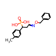 Cc1ccc(C(CC=NOCc2ccccc2)P(=O)(O)O)cc1